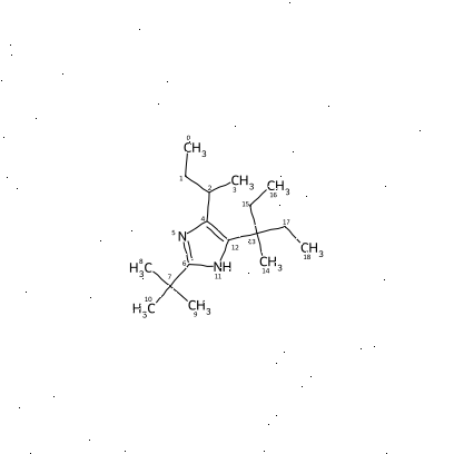 CCC(C)c1nc(C(C)(C)C)[nH]c1C(C)(CC)CC